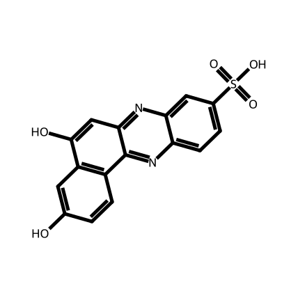 O=S(=O)(O)c1ccc2nc3c(cc(O)c4cc(O)ccc43)nc2c1